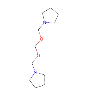 C1CCN(COCOCN2CCCC2)C1